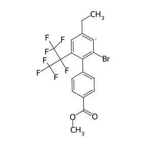 CCc1[c]c(Br)c(-c2ccc(C(=O)OC)cc2)c(C(F)(C(F)(F)F)C(F)(F)F)c1